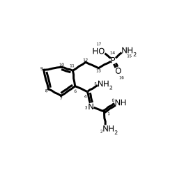 N=C(N)/N=C(\N)c1ccccc1CCP(N)(=O)O